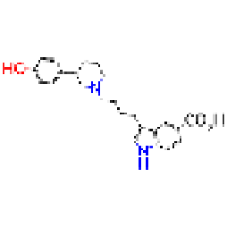 O=C(O)c1ccc2[nH]cc(CCCCN3CCCC(c4ccc(O)cc4)C3)c2c1